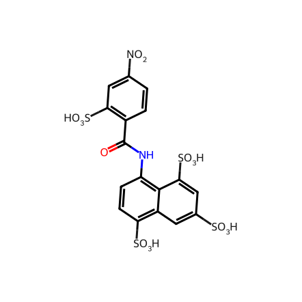 O=C(Nc1ccc(S(=O)(=O)O)c2cc(S(=O)(=O)O)cc(S(=O)(=O)O)c12)c1ccc([N+](=O)[O-])cc1S(=O)(=O)O